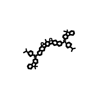 Cc1c2oc3cc4cc(N(c5ccc(C(C)C)cc5)c5ccc6c(c5)-c5ccccc5C6(C)C)ccc4cc3c2cc2c1oc1cc3cc(N(c4ccc(C(C)C)cc4)c4ccc5c(c4)-c4ccccc4C5(C)C)ccc3cc12